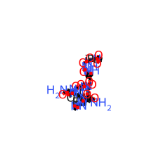 CCc1nc(C)oc1C(=O)Nc1nc2cc(C(N)=O)cc(OC)c2n1C/C=C/Cn1c2nc(-c3cc(C)nn3CC)ncc2c2cc(C(N)=O)cc(OCCCN(C)C(=O)OCc3ccc(NC(=O)[C@H](C)NC(=O)[C@@H](NC(=O)CCN4C(=O)C=CC4=O)C(C)C)cc3)c21